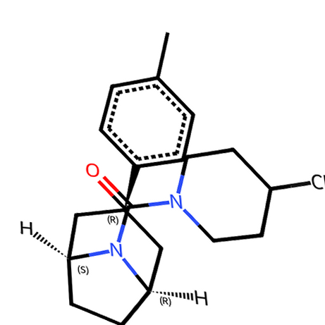 Cc1ccc([C@H]2C[C@H]3CC[C@@H](C2)N3C(=O)N2CCC(C#N)CC2)cc1